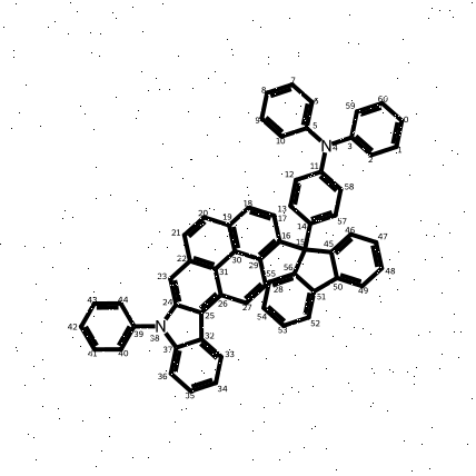 c1ccc(N(c2ccccc2)c2ccc(C3(c4ccc5ccc6cc7c(c8ccc4c5c68)c4ccccc4n7-c4ccccc4)c4ccccc4-c4ccccc43)cc2)cc1